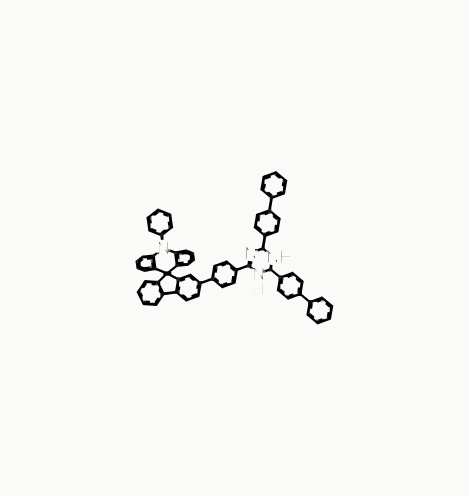 c1ccc(-c2ccc(C3N=C(c4ccc(-c5ccc6c(c5)C5(c7ccccc7-6)c6ccccc6N(c6ccccc6)c6ccccc65)cc4)NC(c4ccc(-c5ccccc5)cc4)N3)cc2)cc1